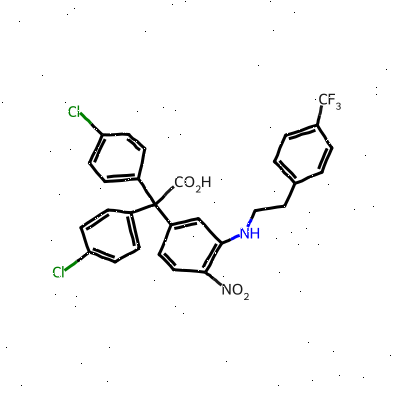 O=C(O)C(c1ccc(Cl)cc1)(c1ccc(Cl)cc1)c1ccc([N+](=O)[O-])c(NCCc2ccc(C(F)(F)F)cc2)c1